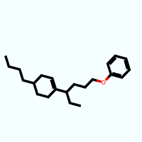 CCCCC1CC=C(C(CC)CCCOc2ccccc2)CC1